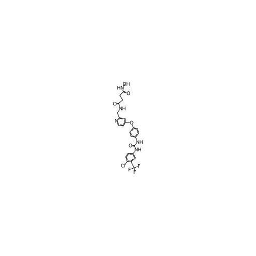 O=C(CCC(=O)NCc1cc(Oc2ccc(NC(=O)Nc3ccc(Cl)c(C(F)(F)F)c3)cc2)ccn1)NO